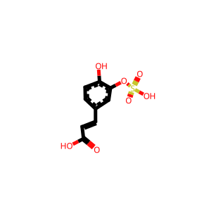 O=C(O)C=Cc1ccc(O)c(OS(=O)(=O)O)c1